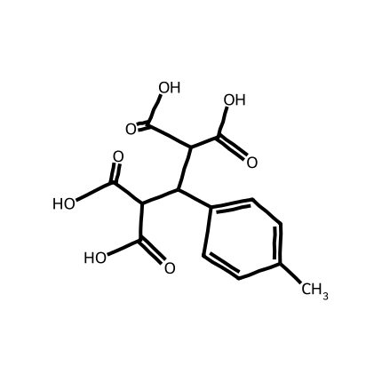 Cc1ccc(C(C(C(=O)O)C(=O)O)C(C(=O)O)C(=O)O)cc1